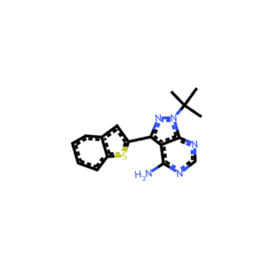 CC(C)(C)n1nc(-c2cc3ccccc3s2)c2c(N)ncnc21